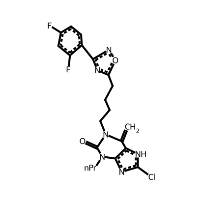 C=C1c2[nH]c(Cl)nc2N(CCC)C(=O)N1CCCCc1nc(-c2ccc(F)cc2F)no1